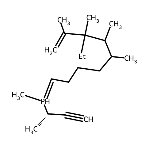 C#C[C@H](C)/[PH](C)=C\CCCC(C)C(C)C(C)(CC)C(=C)C